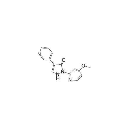 COc1ccnc(-n2[nH]cc(-c3cccnc3)c2=O)c1